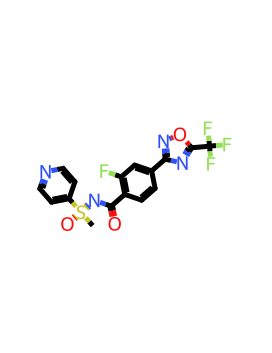 CS(=O)(=NC(=O)c1ccc(-c2noc(C(F)(F)F)n2)cc1F)c1ccncc1